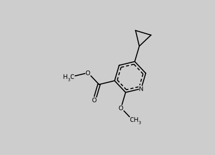 COC(=O)c1cc(C2CC2)cnc1OC